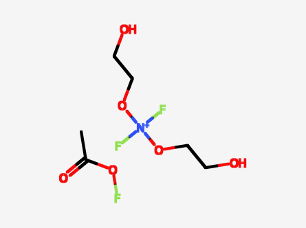 CC(=O)OF.OCCO[N+](F)(F)OCCO